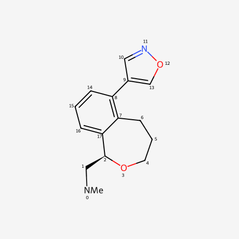 CNC[C@@H]1OCCCc2c(-c3cnoc3)cccc21